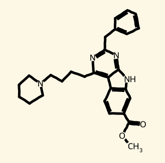 COC(=O)c1ccc2c(c1)[nH]c1nc(Cc3ccccc3)nc(CCCCN3CCCCC3)c12